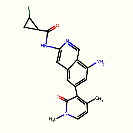 Cc1ccn(C)c(=O)c1-c1cc(N)c2cnc(NC(=O)C3CC3F)cc2c1